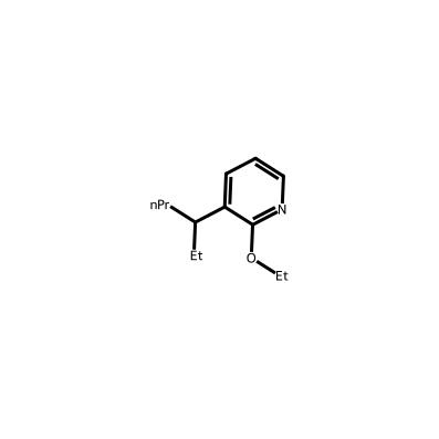 CCCC(CC)c1cccnc1OCC